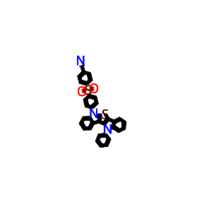 N#Cc1ccc(S(=O)(=O)c2ccc(-n3c4ccccc4c4c3sc3c5ccccc5n(-c5ccccc5)c34)cc2)cc1